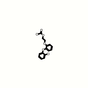 O=C(Cl)OCCOc1ccccc1Oc1ccccc1Cl